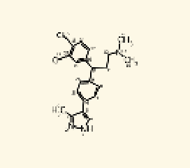 Cc1n[nH]cc1-c1ccc(C(CCN(C)C)c2ccc(Cl)c(Cl)c2)cc1